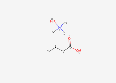 CCCC(=O)O.C[N+](C)(C)O